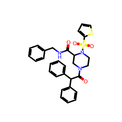 O=C(NCc1ccccc1)C1CN(C(=O)C(c2ccccc2)c2ccccc2)CCN1S(=O)(=O)c1cccs1